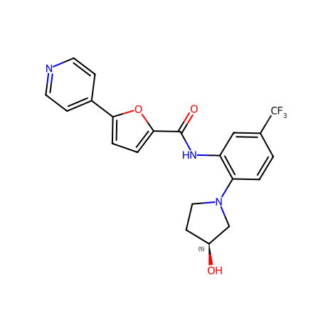 O=C(Nc1cc(C(F)(F)F)ccc1N1CC[C@H](O)C1)c1ccc(-c2ccncc2)o1